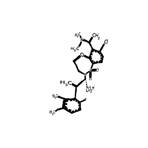 Cc1ccc(F)c(C(C)[C@@H](C(=O)O)N2CCOc3c(ccc(Cl)c3C(C)N(C)C)S2(=O)=O)c1C